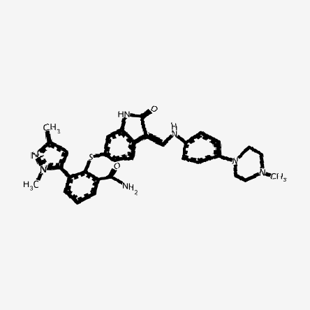 Cc1cc(-c2cccc(C(N)=O)c2Sc2ccc3c(c2)NC(=O)C3=CNc2ccc(N3CCN(C)CC3)cc2)n(C)n1